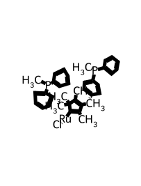 CC1=C(C)C(C)(C)[C]([Ru][Cl])=C1C.CP(c1ccccc1)c1ccccc1.CP(c1ccccc1)c1ccccc1